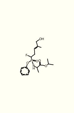 C/C(=C\CC(F)P(=O)(NC(C)C(=O)OC(C)C)Oc1ccccc1)CO